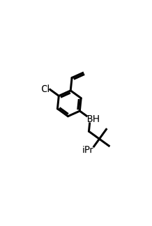 C=Cc1cc(BCC(C)(C)C(C)C)ccc1Cl